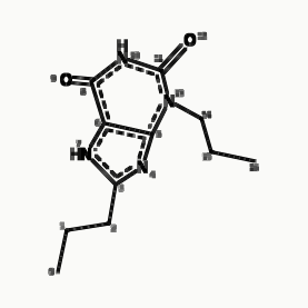 CCCc1nc2c([nH]1)c(=O)[nH]c(=O)n2CCC